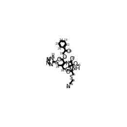 CO[C@@]1(NC(=O)CSCC#N)C(=O)N2C(C(=O)OCC(=O)c3ccccc3)=C(CSc3nnnn3C)CS[C@@H]21